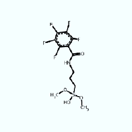 CO[Si](O)(CCCNC(=O)c1c(F)c(F)c(F)c(F)c1F)OC